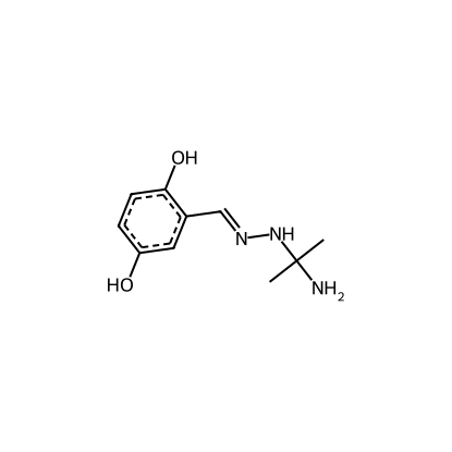 CC(C)(N)N/N=C/c1cc(O)ccc1O